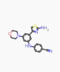 N#Cc1ccc(Nc2cc(-c3csc(N)n3)cc(N3CCOCC3)c2)cc1